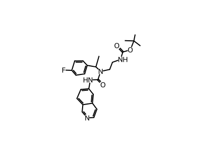 CC(c1ccc(F)cc1)N(CCNC(=O)OC(C)(C)C)C(=O)Nc1ccc2cnccc2c1